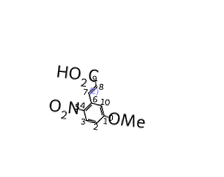 COc1ccc([N+](=O)[O-])c(/C=C/C(=O)O)c1